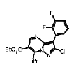 CCOC(=O)c1cnc2c(-c3cccc(F)c3F)c(Cl)nn2c1C(C)C